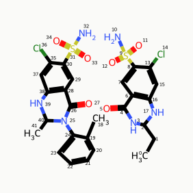 CCC1NC(=O)c2cc(S(N)(=O)=O)c(Cl)cc2N1.Cc1ccccc1N1C(=O)c2cc(S(N)(=O)=O)c(Cl)cc2NC1C